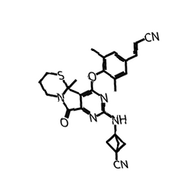 Cc1cc(/C=C/C#N)cc(C)c1Oc1nc(NC23CC(C#N)(C2)C3)nc2c1C1(C)SCCCN1C2=O